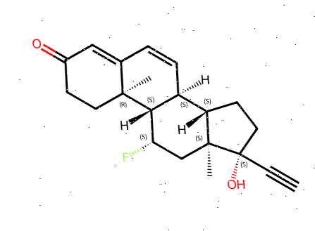 C#C[C@]1(O)CC[C@H]2[C@@H]3C=CC4=CC(=O)CC[C@]4(C)[C@H]3[C@@H](F)C[C@@]21C